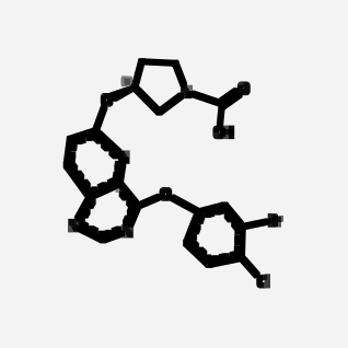 O=C(O)N1CC[C@H](Oc2ccc3ncnc(Oc4ccc(Cl)c(Br)c4)c3n2)C1